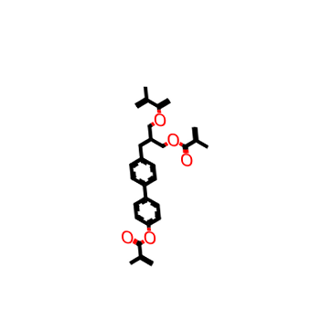 C=C(C)C(=C)OCC(COC(=O)C(=C)C)Cc1ccc(-c2ccc(OC(=O)C(=C)C)cc2)cc1